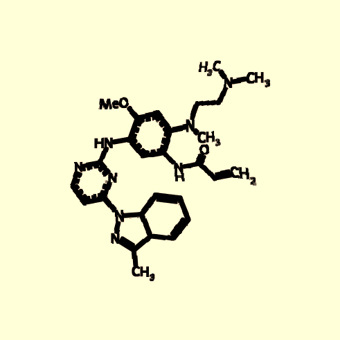 C=CC(=O)Nc1cc(Nc2nccc(N3N=C(C)C4C=CC=CC43)n2)c(OC)cc1N(C)CCN(C)C